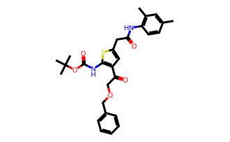 Cc1ccc(NC(=O)Cc2cc(C(=O)COCc3ccccc3)c(NC(=O)OC(C)(C)C)s2)c(C)c1